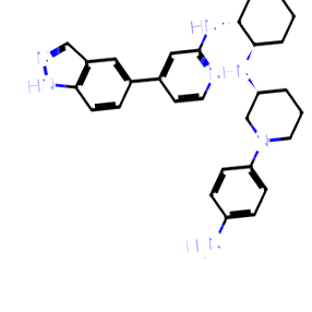 Nc1ccc(N2CCC[C@H](N[C@@H]3CCCC[C@H]3Nc3cc(-c4ccc5[nH]ncc5c4)ccn3)C2)cc1